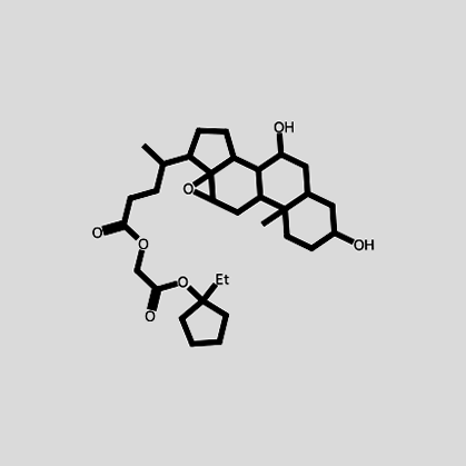 CCC1(OC(=O)COC(=O)CCC(C)C2CCC3C4C(O)CC5CC(O)CCC5(C)C4CC4OC423)CCCC1